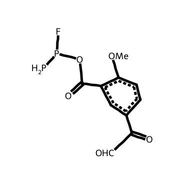 COc1ccc(C(=O)C=O)cc1C(=O)OP(F)P